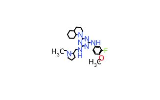 CCN1CCCC1CNc1nc(Nc2ccc(OC)c(F)c2)nc(N2CCCC3CCCCC32)n1